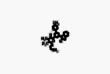 C=C(/C=N\C=C/N)C(C)NC(=O)c1cc(-c2ccc(C)cn2)cc(-n2c(=O)oc3ccccc32)c1